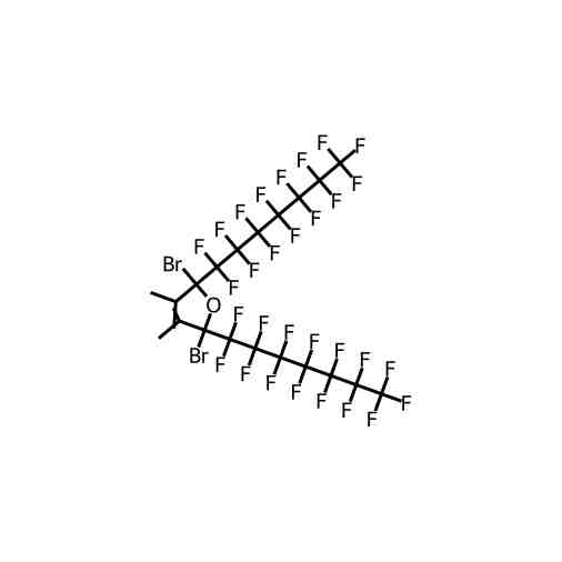 CC(C)C(Br)(OC(Br)(C(C)C)C(F)(F)C(F)(F)C(F)(F)C(F)(F)C(F)(F)C(F)(F)C(F)(F)F)C(F)(F)C(F)(F)C(F)(F)C(F)(F)C(F)(F)C(F)(F)C(F)(F)F